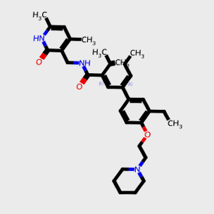 C=C(C)/C(=C\C(=C/CC)c1ccc(OCCN2CCCCC2)c(CC)c1)C(=O)NCc1c(C)cc(C)[nH]c1=O